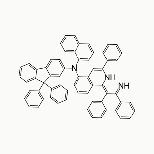 N=C(/C(=C1\NC(c2ccccc2)=Cc2c1cccc2N(c1ccc2c(c1)C(c1ccccc1)(c1ccccc1)c1ccccc1-2)c1cccc2ccccc12)c1ccccc1)c1ccccc1